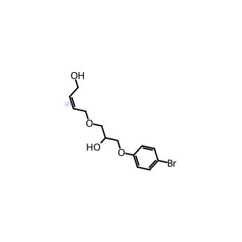 OC/C=C\COCC(O)COc1ccc(Br)cc1